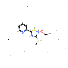 CCON1SC(c2ccccn2)=NC1SC